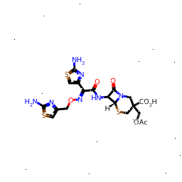 CC(=O)OCC1(C(=O)O)CS[C@@H]2C(NC(=O)C(=NOCc3csc(N)n3)c3csc(N)n3)C(=O)N2C1